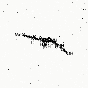 COCCCOCCNC(=O)CCCC(=O)Nc1ccc2c(c1)C(OC(=O)NF)c1cc(NC(=O)CCCC(=O)NCCOCCCCO)ccc1-2